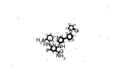 NC(=O)c1cc(F)c(NC2CCCCC2N)nc1Nc1cncc(-c2cccc(N3CCCC3=O)c2)c1